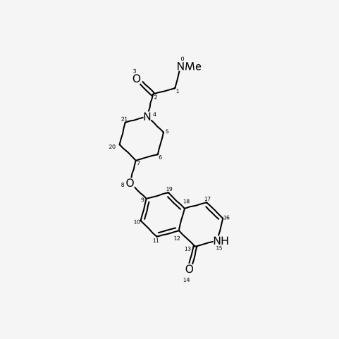 CNCC(=O)N1CCC(Oc2ccc3c(=O)[nH]ccc3c2)CC1